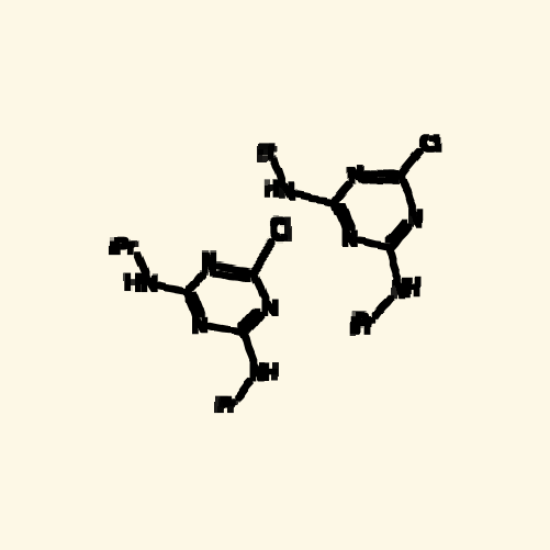 CC(C)Nc1nc(Cl)nc(NC(C)C)n1.CCNc1nc(Cl)nc(NC(C)C)n1